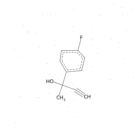 C#CC(C)(O)c1ccc(F)cc1